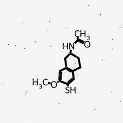 COc1cc2c(cc1S)CCC(NC(C)=O)C2